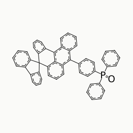 O=P(c1ccccc1)(c1ccccc1)c1ccc(-c2c3ccccc3c3c4c(cccc24)C2(c4ccccc4-c4ccccc42)c2ccccc2-3)cc1